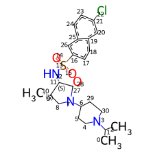 CC(C)N1CCC(N2C[C@H](C)[C@H](NS(=O)(=O)c3ccc4cc(Cl)ccc4c3)C2=O)CC1